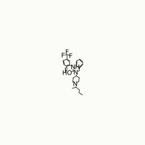 CCCC(C)N1CCC(N(Cc2ccccc2)C(O)Nc2cc(C(F)(F)F)ccc2F)CC1